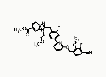 COCCn1c(Cc2ccc(-c3cccc(OCc4ccc(C#N)c(F)c4OC)n3)cc2F)nc2ccc(C(=O)OC)cc21